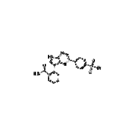 CC(C)S(=O)(=O)c1ccc(-c2cnc3[nH]cc(-c4ccccc4C(N)=O)c3n2)cc1